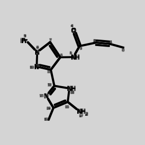 CC#CC(=O)Nc1cn(C(C)C)nc1-c1nc(C)c(N)[nH]1